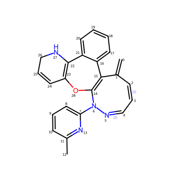 C=C1/C=C\C=N/N(c2cccc(C)n2)C2=C1c1ccccc1C1=C(C=CCN1)O2